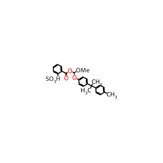 COC(OC(=O)c1ccccc1S(=O)(=O)O)Oc1ccc(C(C)(C)c2ccc(C)cc2)cc1